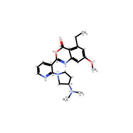 CCc1cc(OC)cc2nc(-c3cccnc3N3CC[C@@H](N(C)C)C3)oc(=O)c12